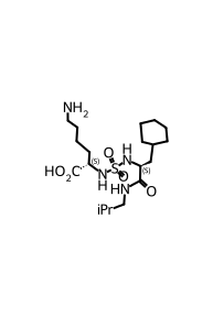 CC(C)CNC(=O)[C@H](CC1CCCCC1)NS(=O)(=O)N[C@@H](CCCCN)C(=O)O